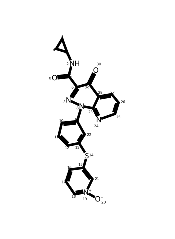 O=C(NC1CC1)c1nn(-c2cccc(Sc3ccc[n+]([O-])c3)c2)c2ncccc2c1=O